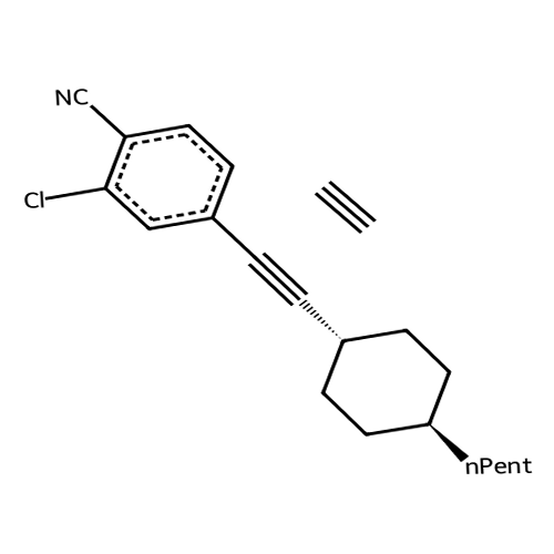 C#C.CCCCC[C@H]1CC[C@H](C#Cc2ccc(C#N)c(Cl)c2)CC1